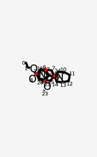 CCOC(=O)N1CCC(N2C3CCC2CC(c2ccccc2OC)C3)CC1